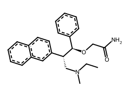 CCN(C)C[C@H](c1ccc2ccccc2c1)[C@H](OCC(N)=O)c1ccccc1